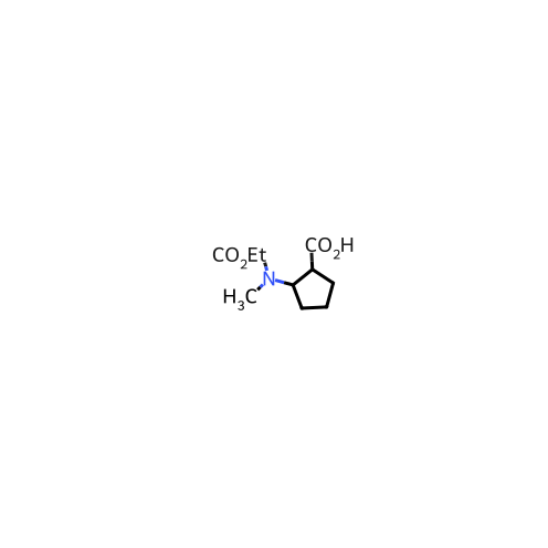 CCOC(=O)N(C)C1CCCC1C(=O)O